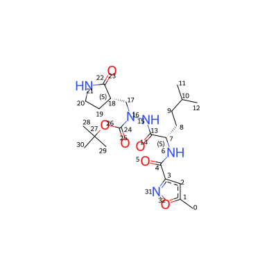 Cc1cc(C(=O)N[C@@H](CCC(C)C)C(=O)NN(C[C@@H]2CCNC2=O)C(=O)OC(C)(C)C)no1